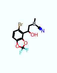 CB(C#N)CC(O)c1c(Br)ccc2c1OC(F)(F)O2